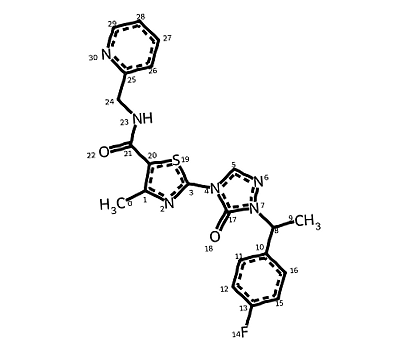 Cc1nc(-n2cnn(C(C)c3ccc(F)cc3)c2=O)sc1C(=O)NCc1ccccn1